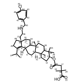 CC(C)C1=C2[C@H]3CC[C@@H]4[C@@]5(C)CC[C@H](OC(=O)CC(C)(C)C(=O)O)C(C)(C)C5CC[C@@]4(C)[C@]3(C)CC[C@@]2(CCNCc2ccc(Cl)cc2)CC1